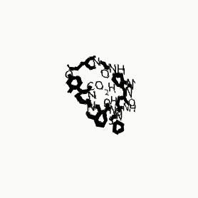 Cc1cc(O[C@@H](C)CCC2CCN(CC(=O)Nc3ccc4c(C5CCC(=O)NC5=O)nn(C)c4c3)CC2)ccc1-c1ccc(N2CCc3cccc(C(=O)Nc4nc5ccccc5s4)c3C2)nc1C(=O)O